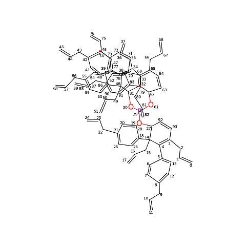 C=CCC1=C(c2ccc(CC=C)cc2)C(CC=C)(c2ccc(CC=C)cc2)C(OP(OC2C=CC(CC=C)=C(c3ccc(CC=C)cc3)C2(CC=C)c2ccc(CC=C)cc2)OC2C=CC(CC=C)=C(c3ccc(CC=C)cc3)C2(CC=C)c2ccc(CC=C)cc2)C=C1